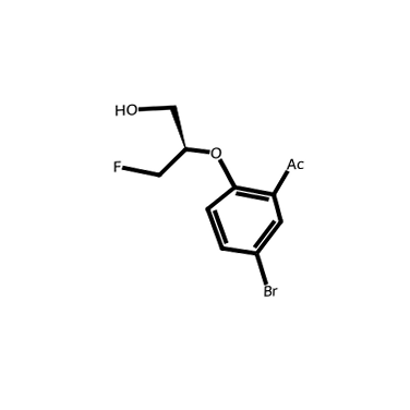 CC(=O)c1cc(Br)ccc1O[C@H](CO)CF